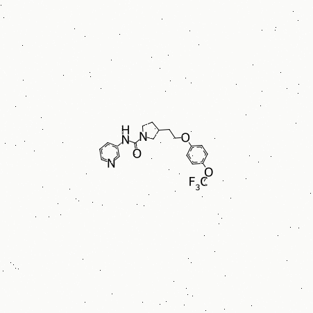 O=C(Nc1cccnc1)N1CCC(CCOc2ccc(OC(F)(F)F)cc2)C1